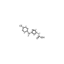 CN(c1ccc(Cl)cc1)c1ncc(CC(=O)O)s1